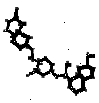 COc1ccc2nccc([C@@H](O)CN3CC[C@@H](NCc4ccc5c(n4)NC(=O)CS5)[C@H](F)C3)c2c1